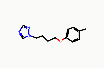 Cc1ccc(OCCCCn2cncn2)cc1